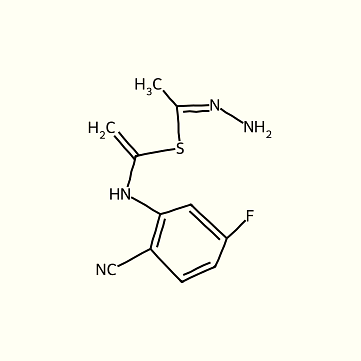 C=C(Nc1cc(F)ccc1C#N)S/C(C)=N\N